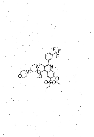 CCCS(=O)(=O)c1cc2c(C(=O)OC)c(CN3CCC(N4CCOCC4)CC3)c(-c3cccc(C(F)(F)F)c3)nc2cc1OCC